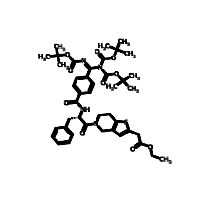 CCOC(=O)Cc1cc2c(s1)CCN(C(=O)[C@H](Cc1ccccc1)NC(=O)c1ccc(/C(=N\C(=O)OC(C)(C)C)N(C(=O)OC(C)(C)C)C(=O)OC(C)(C)C)cc1)C2